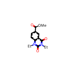 CCn1c(=O)c2cc(C(=O)OC)ccc2n(CC)c1=O